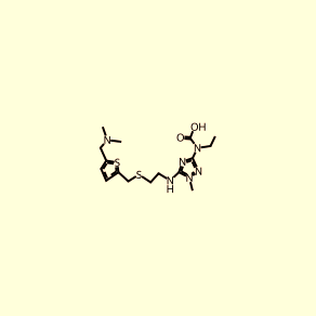 CCN(C(=O)O)c1nc(NCCSCc2ccc(CN(C)C)s2)n(C)n1